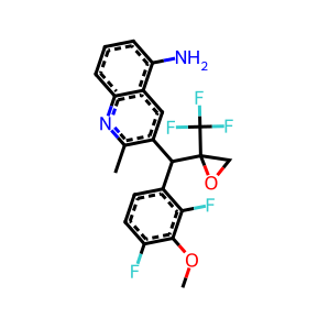 COc1c(F)ccc(C(c2cc3c(N)cccc3nc2C)C2(C(F)(F)F)CO2)c1F